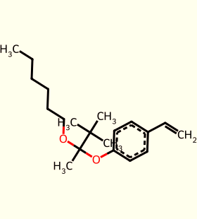 C=Cc1ccc(OC(C)(OCCCCCC)C(C)(C)C)cc1